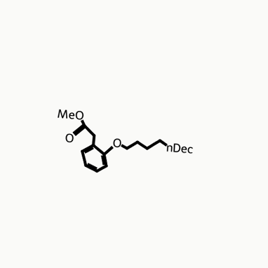 CCCCCCCCCCCCCCOc1ccccc1CC(=O)OC